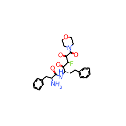 N[C@@H](Cc1ccccc1)C(=O)N[C@@H](CCc1ccccc1)C(=O)C(F)C(=O)C(=O)N1CCOCC1